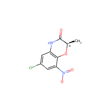 C[C@H]1Oc2c(cc(Cl)cc2[N+](=O)[O-])NC1=O